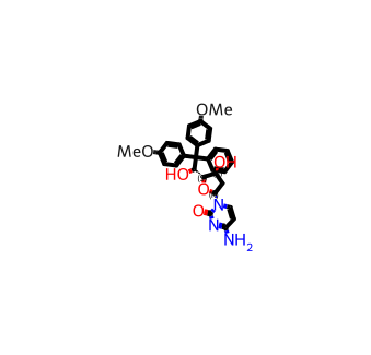 COc1ccc(C(c2ccccc2)(c2ccc(OC)cc2)C(O)[C@H]2O[C@@H](n3ccc(N)nc3=O)C[C@@H]2O)cc1